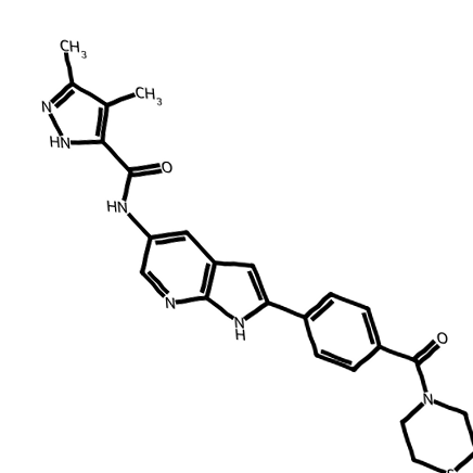 Cc1n[nH]c(C(=O)Nc2cnc3[nH]c(-c4ccc(C(=O)N5CCSCC5)cc4)cc3c2)c1C